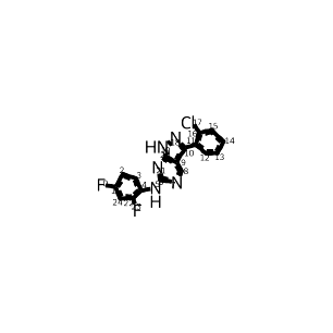 Fc1ccc(Nc2ncc3c(-c4ccccc4Cl)n[nH]c3n2)c(F)c1